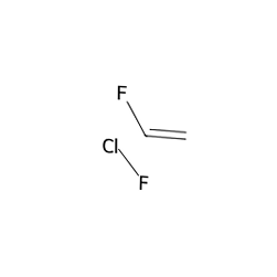 C=CF.FCl